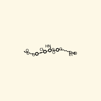 C=CC(=O)OCCCOc1ccc(C#Cc2ccc(-c3ccc(OC(=O)c4ccc(OCCCCCCOCC5(CC)COC5)cc4)c(C=N)c3)cc2Cl)cc1